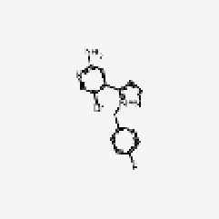 Nc1cc(-c2ccnn2Cc2ccc(F)cc2)c(Br)cn1